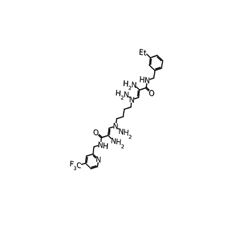 CCc1cccc(CNC(=O)/C(N)=C/N(N)CCCCN(N)/C=C(\N)C(=O)NCc2cc(C(F)(F)F)ccn2)c1